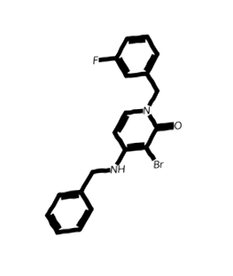 O=c1c(Br)c(NCc2ccccc2)ccn1Cc1cccc(F)c1